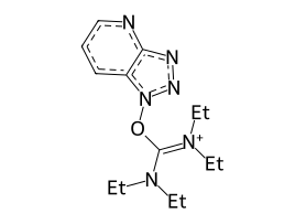 CCN(CC)C(On1nnc2ncccc21)=[N+](CC)CC